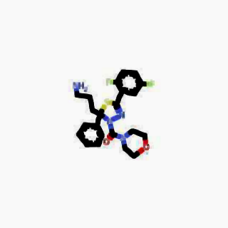 NCCCC1(c2ccccc2)SC(c2cc(F)ccc2F)=NN1C(=O)N1CCOCC1